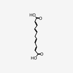 O=C(O)C=CC=CCC=CC=CC(=O)O